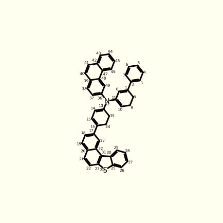 C1=C(c2ccccc2)CCC=C1N(C1=CC=C(c2ccc3ccc4sc5ccccc5c4c3c2)CC1)c1ccc2ccc3ccccc3c2c1